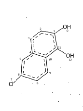 Oc1ccc2cc(Cl)ccc2c1O